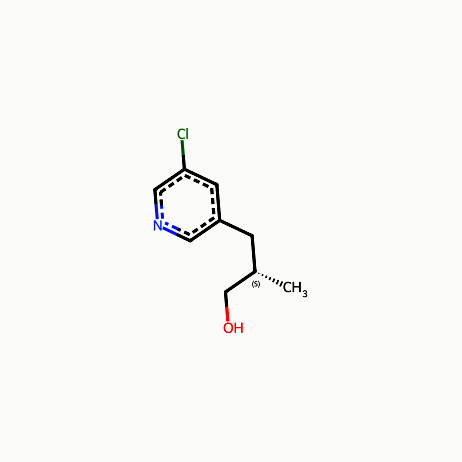 C[C@H](CO)Cc1cncc(Cl)c1